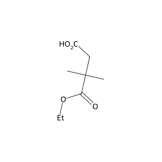 CCOC(=O)C(C)(C)CC(=O)O